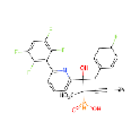 CC(C)C#CC(C(=O)O)([PH](=O)O)C(O)(Cc1ccc(F)cc1)c1cccc(-c2c(F)c(F)cc(F)c2F)n1